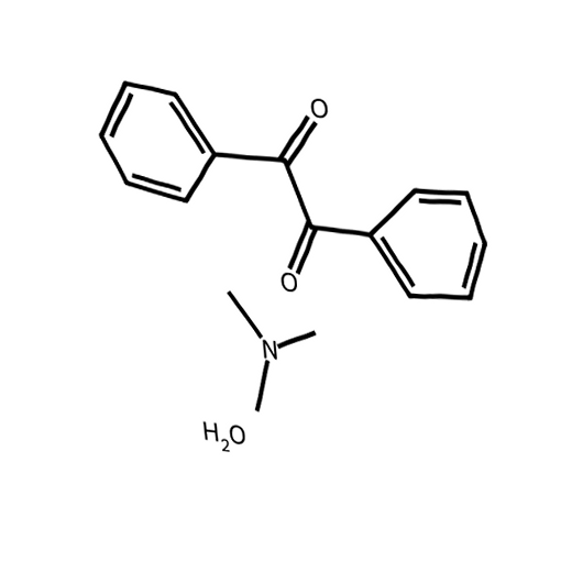 CN(C)C.O.O=C(C(=O)c1ccccc1)c1ccccc1